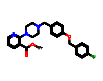 CC(C)OC(=O)c1cccnc1N1CCN(Cc2ccc(OCc3ccc(F)cc3)cc2)CC1